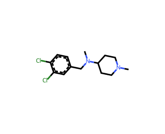 CN1CCC(N(C)Cc2ccc(Cl)c(Cl)c2)CC1